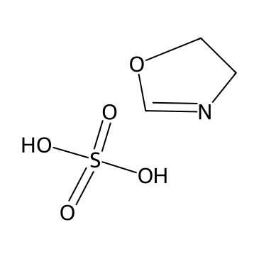 C1=NCCO1.O=S(=O)(O)O